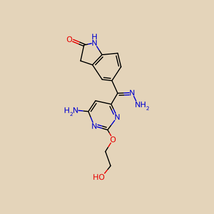 NN=C(c1ccc2c(c1)CC(=O)N2)c1cc(N)nc(OCCO)n1